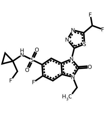 CCn1c(=O)n(-c2nnc(C(F)F)s2)c2cc(S(=O)(=O)NC3(CF)CC3)c(F)cc21